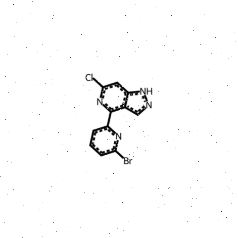 Clc1cc2[nH]ncc2c(-c2cccc(Br)n2)n1